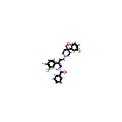 CN(CC(CCN1CCC2(CC1)COc1ccc(F)cc12)c1ccc(Cl)c(Cl)c1)C(=O)c1ccccc1